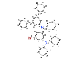 Brc1cc(N(c2ccccc2)c2ccccc2)cc(N(c2ccccc2)c2cc(-c3ccccc3)cc(-c3ccccc3)c2)c1